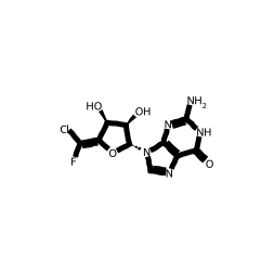 Nc1nc2c(ncn2[C@@H]2O/C(=C(\F)Cl)[C@@H](O)[C@H]2O)c(=O)[nH]1